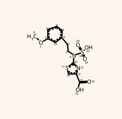 COc1cccc(CCN(c2nc(C(=O)O)cs2)S(=O)(=O)O)c1